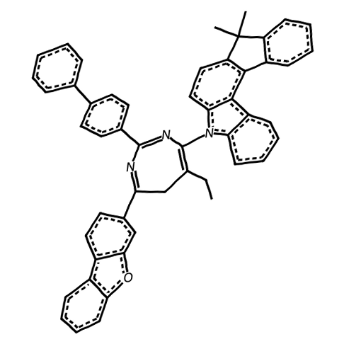 CCC1=C(n2c3ccccc3c3c4c(ccc32)C(C)(C)c2ccccc2-4)N=C(c2ccc(-c3ccccc3)cc2)N=C(c2ccc3c(c2)oc2ccccc23)C1